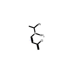 C=C(Cl)/C=C\N(N)C(C)C(C)C